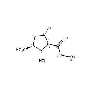 C[C@H]1C[C@H](C(=O)O)CN1C(=O)OC(C)(C)C.Cl